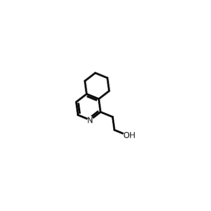 OCCc1nccc2c1CCCC2